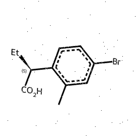 CC[C@H](C(=O)O)c1ccc(Br)cc1C